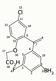 Bc1cc(F)cc(C(=C)c2cc(Cl)ccc2OCC(=O)O)c1